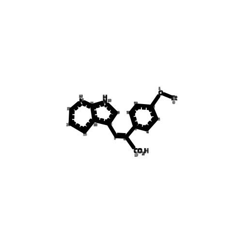 CCOc1ccc(C(=Cc2c[nH]c3ncccc23)C(=O)O)cc1